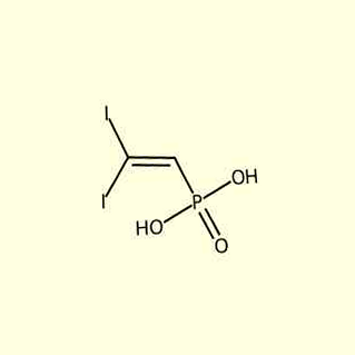 O=P(O)(O)C=C(I)I